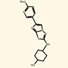 COc1ccc(-c2cn3nc(NC4CCC(O)CC4)sc3n2)cn1